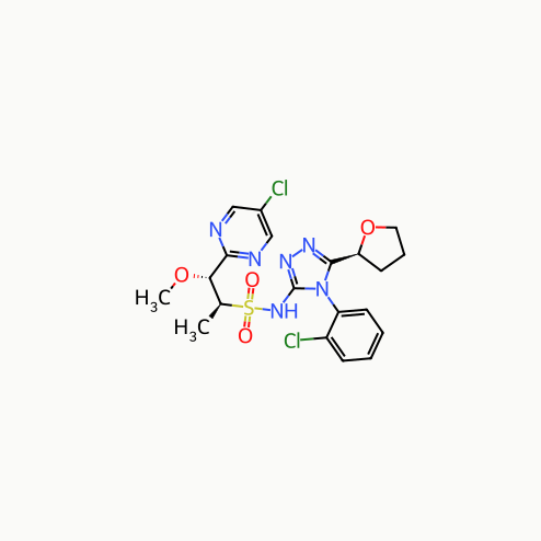 CO[C@H](c1ncc(Cl)cn1)[C@H](C)S(=O)(=O)Nc1nnc([C@@H]2CCCO2)n1-c1ccccc1Cl